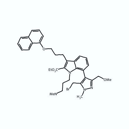 CCOC(=O)c1c(CCCOc2cccc3ccccc23)c2cccc(-c3c(COC)nn(C)c3CBr)c2n1CCCNC